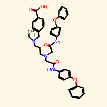 CCN(CCCN(CC(=O)Nc1ccc(Oc2ccccc2)cc1)CC(=O)Nc1ccc(Oc2ccccc2)cc1)Cc1ccc(C(=O)O)cc1